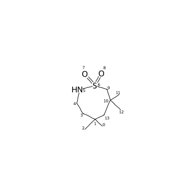 CC1(C)CCNS(=O)(=O)CC(C)(C)C1